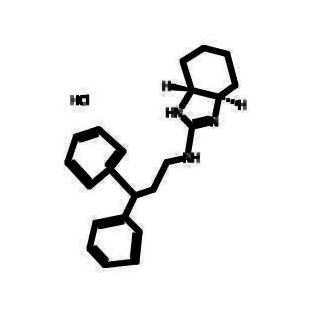 Cl.c1ccc(C(CCNC2=N[C@@H]3CCCC[C@H]3N2)c2ccccc2)cc1